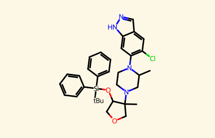 CC1CN(C2(C)COCC2O[Si](c2ccccc2)(c2ccccc2)C(C)(C)C)CCN1c1cc2[nH]ncc2cc1Cl